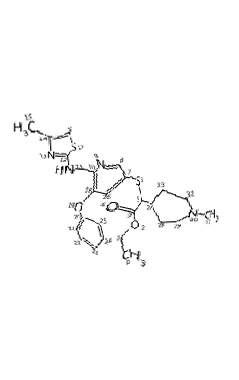 CCOC(=O)C(Sc1cnc(Nc2nc(C)cs2)c(Oc2ccccc2)c1)C1CCN(C)CC1